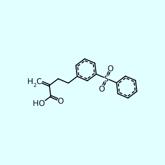 C=C(CCc1cccc(S(=O)(=O)c2ccccc2)c1)C(=O)O